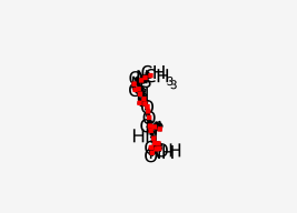 CC(C)c1nc(C(=O)N2CCOC3(CCN(Cc4cccc(OCCCOCCC(=O)N(CCNCCc5ccc(O)c6c5OCC(=O)N6)C5CCCCC5)c4)CC3)C2)cs1